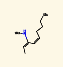 C/C=C(\C=C/CCCC(C)(C)C)NC(C)(C)C